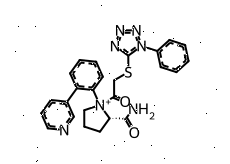 NC(=O)[C@@H]1CCC[N+]1(C(=O)CSc1nnnn1-c1ccccc1)c1ccccc1-c1cccnc1